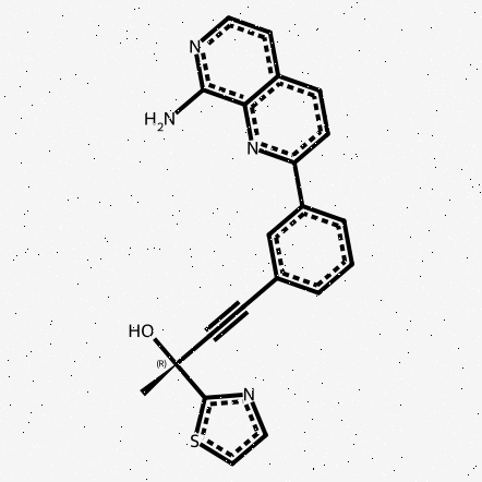 C[C@@](O)(C#Cc1cccc(-c2ccc3ccnc(N)c3n2)c1)c1nccs1